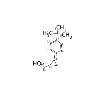 CC(C)(C)c1ccc(C2CC2CO)cc1